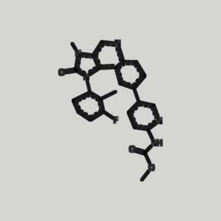 COC(=O)Nc1ccc(-c2ccc3ncc4c(c3c2)n(-c2cccc(F)c2C)c(=O)n4C)cn1